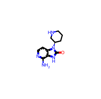 Nc1nccc2c1[nH]c(=O)n2[C@@H]1CCCNC1